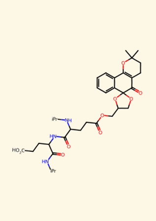 CC(C)NC(=O)C(CCC(=O)O)NC(=O)C(CCC(=O)OCC1COC2(O1)C(=O)C1=C(OC(C)(C)CC1)c1ccccc12)NC(C)C